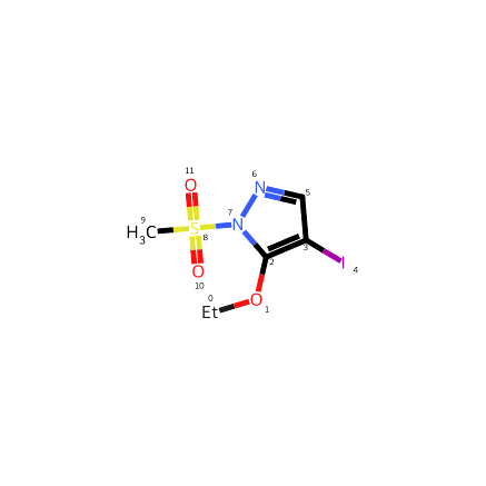 CCOc1c(I)cnn1S(C)(=O)=O